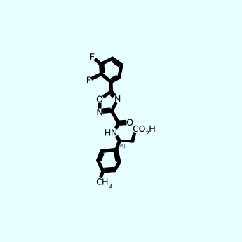 Cc1ccc([C@H](CC(=O)O)NC(=O)c2noc(-c3cccc(F)c3F)n2)cc1